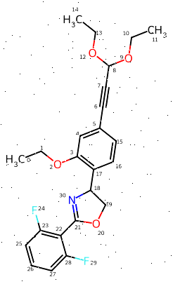 CCOc1cc(C#CC(OCC)OCC)ccc1C1COC(c2c(F)cccc2F)=N1